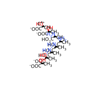 CC(N)C(=O)O.CC(N)C(=O)O.CC(N)C(=O)O.CC(N)C(=O)O.CC(O)C(=O)[O-].CC(O)C(=O)[O-].CC(O)C(=O)[O-].CC(O)C(=O)[O-].[C+4]